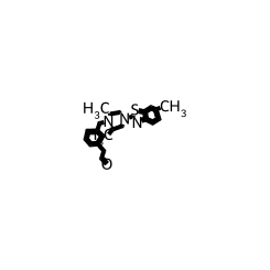 Cc1ccc2nc(N3CC(C)N(Cc4cccc(CC=O)c4)C(C)C3)sc2c1